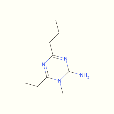 CCCC1=NC(N)N(C)C(CC)=N1